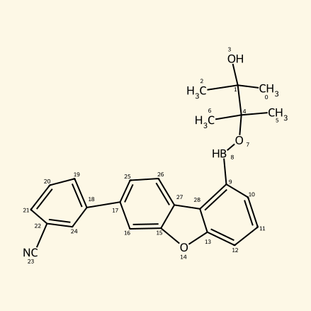 CC(C)(O)C(C)(C)OBc1cccc2oc3cc(-c4cccc(C#N)c4)ccc3c12